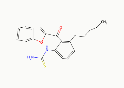 CCCCCc1cccc(NC(N)=S)c1C(=O)c1cc2ccccc2o1